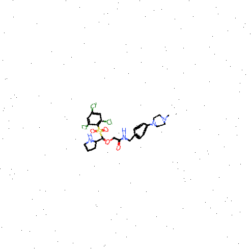 CN1CCN(c2ccc(CNC(=O)COC(C3CCCN3)S(=O)(=O)c3c(Cl)cc(Cl)cc3Cl)cc2)CC1